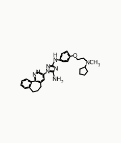 CN(CCOc1ccc(Nc2nc(N)n(-c3cc4c(nn3)-c3ccccc3CCC4)n2)cc1)C1CCCC1